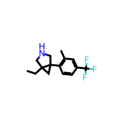 CCC12CNCC1(c1ccc(C(F)(F)F)cc1C)C2